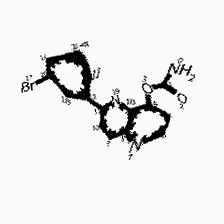 NC(=O)Oc1ccnc2ccc(-c3cccc(Br)c3)nc12